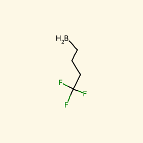 BCCCC(F)(F)F